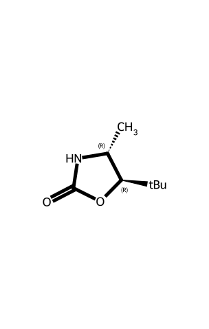 C[C@H]1NC(=O)O[C@@H]1C(C)(C)C